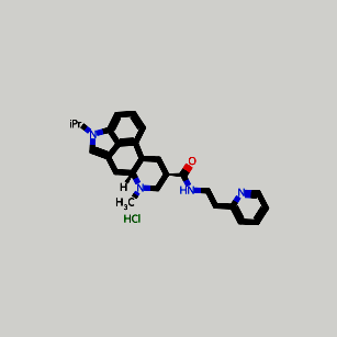 CC(C)n1cc2c3c(cccc31)C1C[C@@H](C(=O)NCCc3ccccn3)CN(C)[C@@H]1C2.Cl